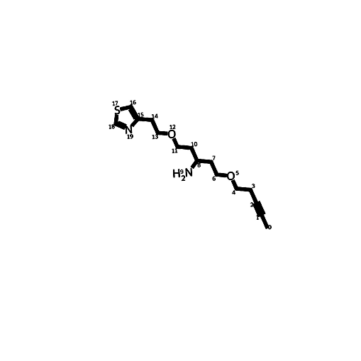 CC#CCCOCCC(N)CCOCCc1cscn1